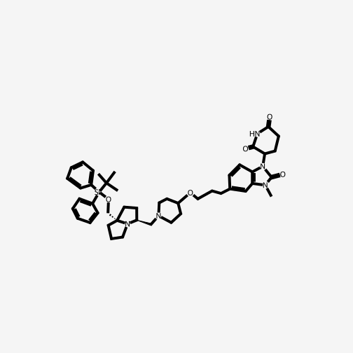 Cn1c(=O)n(C2CCC(=O)NC2=O)c2ccc(CCCOC3CCN(C[C@@H]4CC[C@]5(CO[Si](c6ccccc6)(c6ccccc6)C(C)(C)C)CCCN45)CC3)cc21